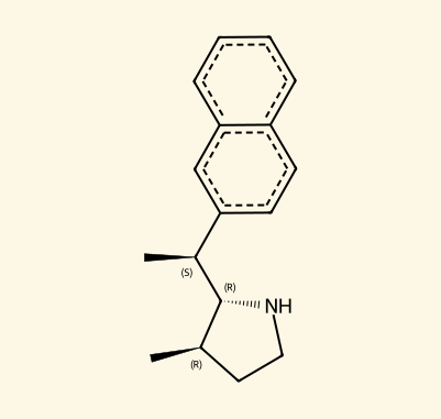 C[C@@H]1CCN[C@H]1[C@@H](C)c1ccc2ccccc2c1